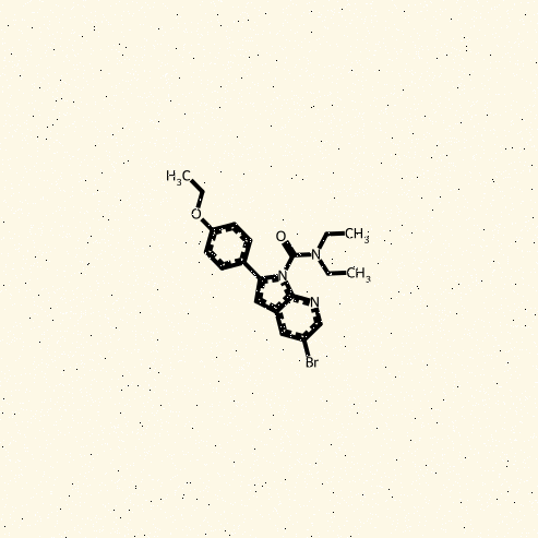 CCOc1ccc(-c2cc3cc(Br)cnc3n2C(=O)N(CC)CC)cc1